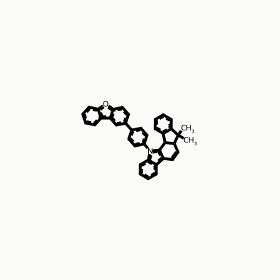 CC1(C)c2ccccc2C2c3c(c4ccccc4n3-c3ccc(-c4ccc5oc6ccccc6c5c4)cc3)C=CC21